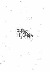 CC1(C)[C@H](C=NOCC2CC2)[C@H]1C(=O)OCc1cccc(Oc2ccccc2)c1